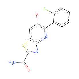 NC(=O)c1nc2nc(-c3ccccc3F)c(Br)cc2s1